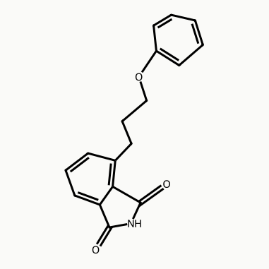 O=C1NC(=O)c2c(CCCOc3ccccc3)cccc21